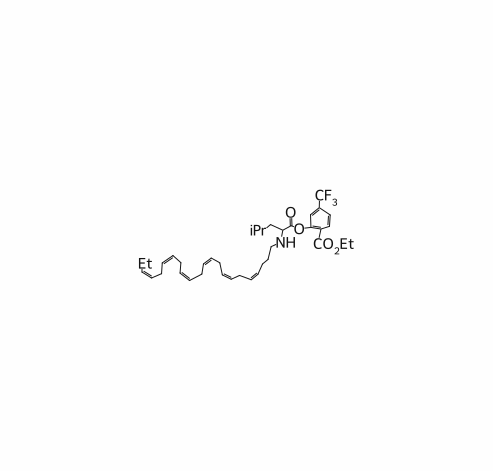 CC/C=C\C/C=C\C/C=C\C/C=C\C/C=C\C/C=C\CCCNC(CC(C)C)C(=O)Oc1cc(C(F)(F)F)ccc1C(=O)OCC